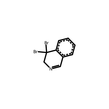 BrC1(Br)CN=Cc2ccccc21